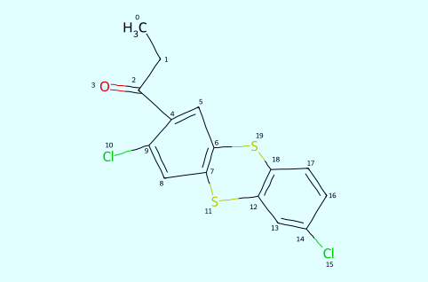 CCC(=O)c1cc2c(cc1Cl)Sc1cc(Cl)ccc1S2